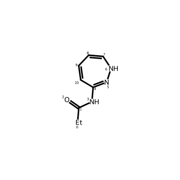 CCC(=O)NC1=NNC=CC=C1